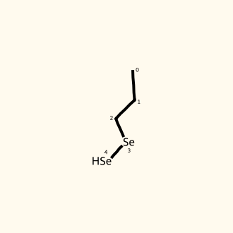 CCC[Se][SeH]